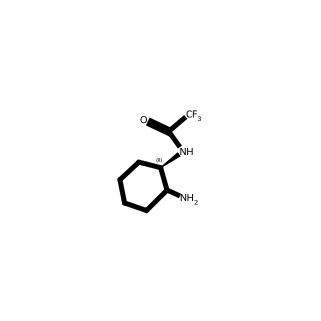 NC1CCCC[C@H]1NC(=O)C(F)(F)F